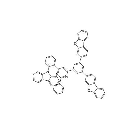 c1ccc(-c2nc(-c3cc(-c4ccc5c(c4)oc4ccccc45)cc(-c4ccc5c(c4)oc4ccccc45)c3)cc(-c3ccccc3-n3c4ccccc4c4ccccc43)n2)cc1